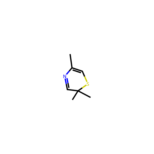 CC1=CSC(C)(C)C=N1